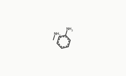 CN.Nc1ccccc1